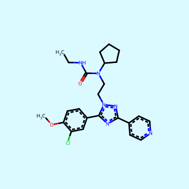 CCNC(=O)N(CCn1nc(-c2ccncc2)nc1-c1ccc(OC)c(Cl)c1)C1CCCC1